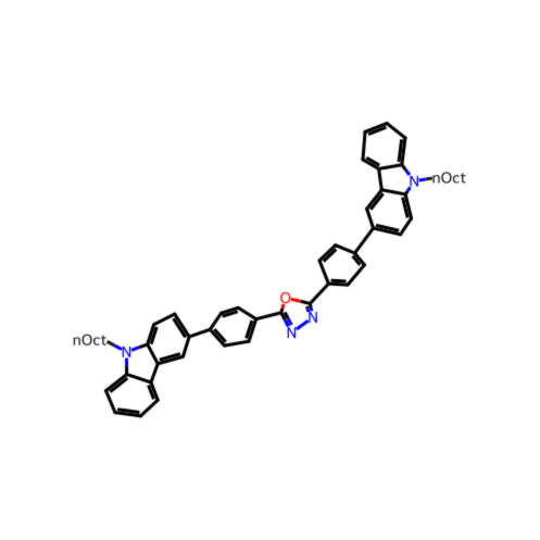 CCCCCCCCn1c2ccccc2c2cc(-c3ccc(-c4nnc(-c5ccc(-c6ccc7c(c6)c6ccccc6n7CCCCCCCC)cc5)o4)cc3)ccc21